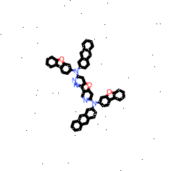 c1ccc2cc3cc(N(c4ccc5c(c4)oc4ccccc45)c4cc5oc6cc(N(c7ccc8cc9ccccc9cc8c7)c7ccc8c(c7)oc7ccccc78)nnc6c5cn4)ccc3cc2c1